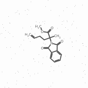 C=CCCC(C)(C(=O)OC)N1C(=O)c2ccccc2C1=O